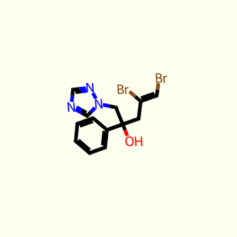 OC(CC(Br)=CBr)(Cn1cncn1)c1ccccc1